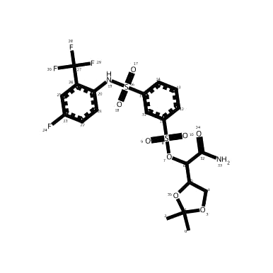 CC1(C)OCC(C(OS(=O)(=O)c2cccc(S(=O)(=O)Nc3ccc(F)cc3C(F)(F)F)c2)C(N)=O)O1